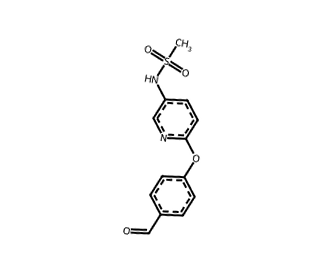 CS(=O)(=O)Nc1ccc(Oc2ccc(C=O)cc2)nc1